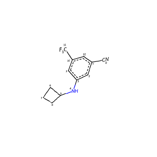 N#Cc1cc(NC2CCC2)cc(C(F)(F)F)c1